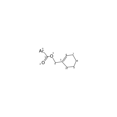 CC(=O)C(=O)OCC1=CCCCC1